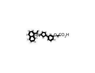 CC(NC1CCC(c2cccc(OCC(=O)O)c2)C1)c1cccc2ccccc12